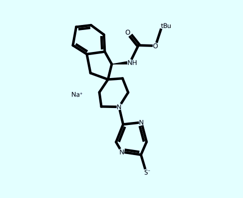 CC(C)(C)OC(=O)N[C@@H]1c2ccccc2CC12CCN(c1cnc([S-])cn1)CC2.[Na+]